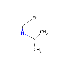 C=C(C)/N=C\CC